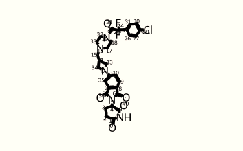 O=C1CCC(N2C(=O)c3ccc(N4CC(CN5CCN(C(=O)C(F)(F)c6ccc(Cl)cc6)CC5)C4)cc3C2=O)C(=O)N1